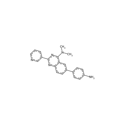 CN(C)c1nc(-c2cccnc2)nc2ccc(-c3ccc(N)cc3)cc12